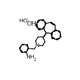 Cl.Cl.Nc1ccccc1CN1CCC(=C2c3ccccc3C=Cc3ccccc32)CC1